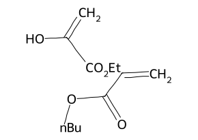 C=C(O)C(=O)OCC.C=CC(=O)OCCCC